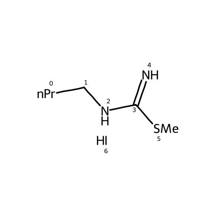 CCCCNC(=N)SC.I